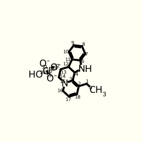 CCC1=C2C3Nc4ccccc4C3CCN2CC=C1.[O-][Cl+3]([O-])([O-])O